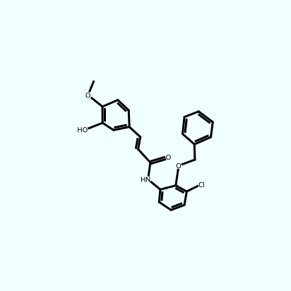 COc1ccc(/C=C/C(=O)Nc2cccc(Cl)c2OCc2ccccc2)cc1O